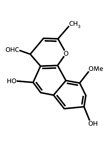 COc1cc(O)cc2cc(O)c3c(c12)OC(C)=CC3C=O